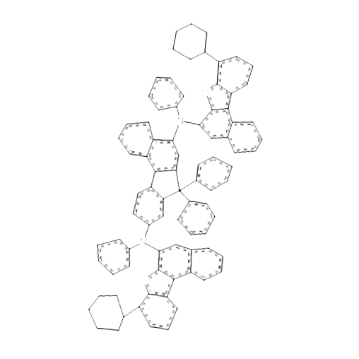 c1ccc(N(c2ccc3c(c2)C(c2ccccc2)(c2ccccc2)c2cc(N(c4ccccc4)c4cc5ccccc5c5c4oc4c(C6CCCCC6)cccc45)c4ccccc4c2-3)c2cc3ccccc3c3c2oc2c(C4CCCCC4)cccc23)cc1